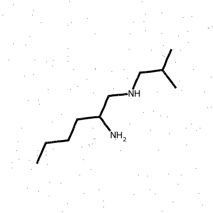 CCCCC(N)CNCC(C)C